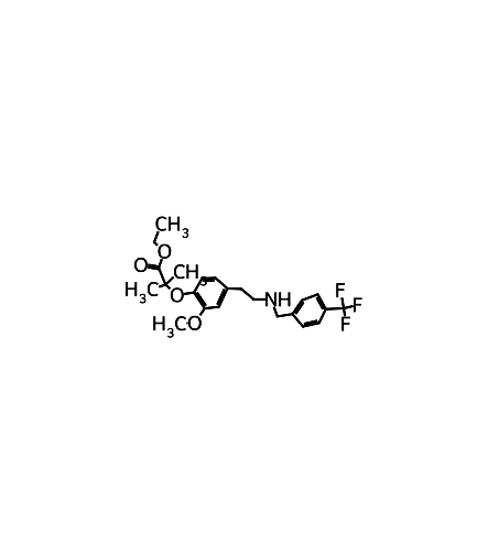 CCOC(=O)C(C)(C)Oc1ccc(CCNCc2ccc(C(F)(F)F)cc2)cc1OC